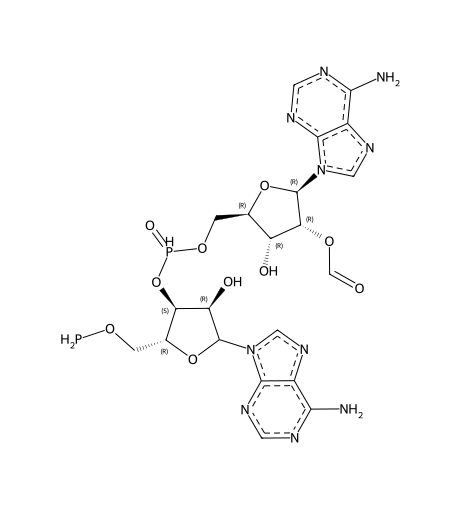 Nc1ncnc2c1ncn2C1O[C@H](COP)[C@@H](O[PH](=O)OC[C@H]2O[C@@H](n3cnc4c(N)ncnc43)[C@H](OC=O)[C@@H]2O)[C@H]1O